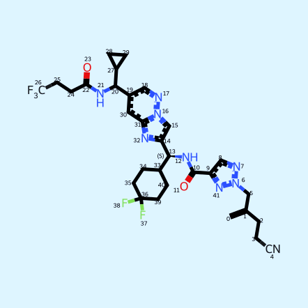 C=C(CCC#N)Cn1ncc(C(=O)N[C@H](c2cn3ncc(C(NC(=O)CCC(F)(F)F)C4CC4)cc3n2)C2CCC(F)(F)CC2)n1